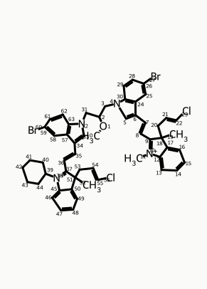 COC(Cn1cc(/C=C/C2=[N+](C)c3ccccc3C2(C)C/C=C/Cl)c2cc(Br)ccc21)Cn1cc(/C=C/C2=[N+](C3CCCCC3)c3ccccc3C2(C)C/C=C/Cl)c2cc(Br)ccc21